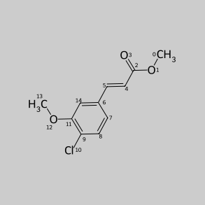 COC(=O)/C=C/c1ccc(Cl)c(OC)c1